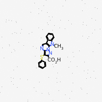 Cn1c2ccccc2c2cnc3c(Sc4ccccc4)c(C(=O)O)nn3c21